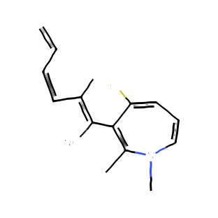 C=C/C=C\C(C)=C(/C#N)C1=C(C)N(C)C=CC=C1S